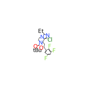 CCc1nc(Cl)c2n1CCN(C(=O)OC(C)(C)C)C2CCc1cc(F)cc(F)c1F